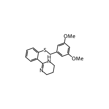 COc1cc(CSc2ccccc2C2=NCCCN2)cc(OC)c1